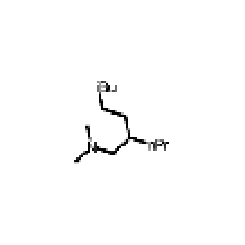 CCCC(CCC(C)CC)CN(C)C